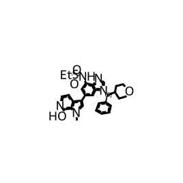 CCS(=O)(=O)Nc1cc(-c2cn(C)c3c(O)nccc23)cc2c1ncn2[C@H](c1ccccc1)C1CCOCC1